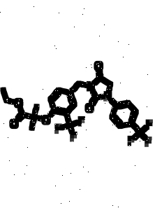 CCOC(=O)C(C)(C)Oc1ccc(CN2C(=O)CN(c3ccc(C(F)(F)F)cc3)C2=O)cc1C(F)(F)F